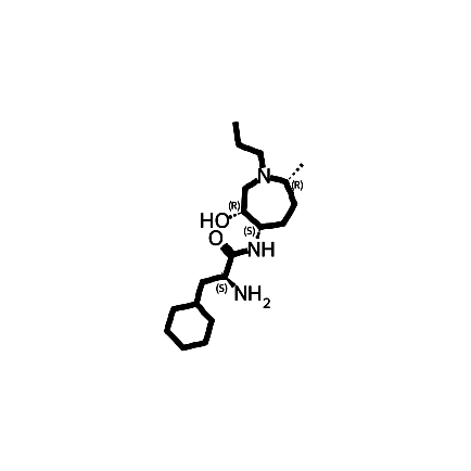 CCCN1C[C@@H](O)[C@@H](NC(=O)[C@@H](N)CC2CCCCC2)CC[C@H]1C